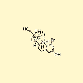 C#C[C@@]1(O)CC[C@H]2[C@@H]3CCc4cc(O)cc(Br)c4[C@H]3CC[C@@]21C